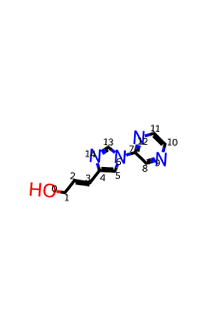 OCC=Cc1cn(-c2cnccn2)cn1